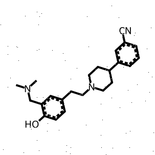 CN(C)Cc1cc(CCN2CCC(c3cccc(C#N)c3)CC2)ccc1O